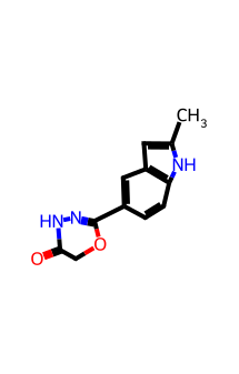 Cc1cc2cc(C3=NNC(=O)CO3)ccc2[nH]1